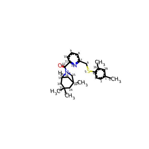 Cc1ccc(SCc2cccc(C(=O)N3C[C@]4(C)C[C@H]3CC(C)(C)C4)n2)c(C)c1